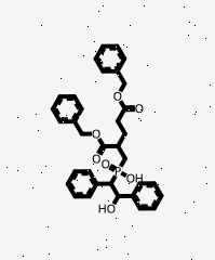 O=C(CCC(CP(=O)(O)C(c1ccccc1)C(O)c1ccccc1)C(=O)OCc1ccccc1)OCc1ccccc1